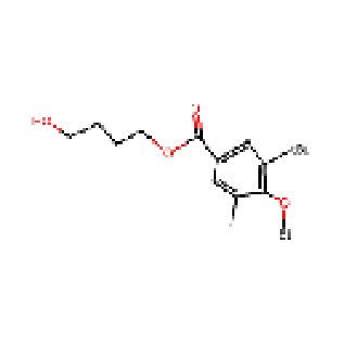 CCOc1c(C)cc(C(=O)OCCCCO)cc1C(C)(C)C